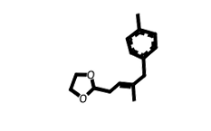 CC(=CCC1OCCO1)Cc1ccc(C)cc1